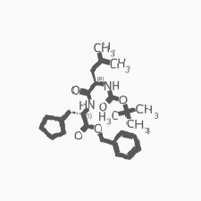 CC(C)C[C@@H](NC(=O)OC(C)(C)C)C(=O)N[C@@H](CC1CCCC1)C(=O)OCc1ccccc1